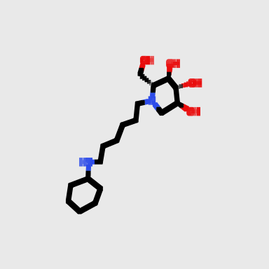 OC[C@@H]1[C@@H](O)[C@H](O)[C@@H](O)CN1CCCCCCNC1CCCCC1